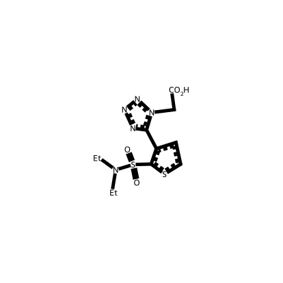 CCN(CC)S(=O)(=O)c1sccc1-c1nnnn1CC(=O)O